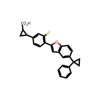 O=C(O)C1CC1c1ccc(-c2cc3cc(C4(c5ccccc5)CC4)ccc3o2)c(F)c1